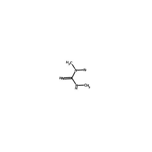 CNC(=N)N(C)[N]